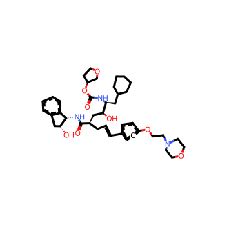 O=C(N[C@@H](CC1CCCCC1)[C@@H](O)C[C@@H](CC=Cc1ccc(OCCN2CCOCC2)cc1)C(=O)N[C@H]1c2ccccc2C[C@H]1O)O[C@H]1CCOC1